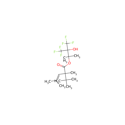 CC(C)=CC(C)(C(=O)OC(C)(C)C(O)(C(F)(F)F)C(F)(F)F)C(C)(C)C